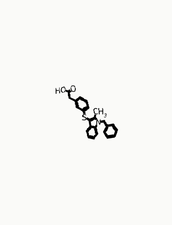 Cc1c(Sc2cccc(CC(=O)O)c2)c2ccccc2n1Cc1ccccc1